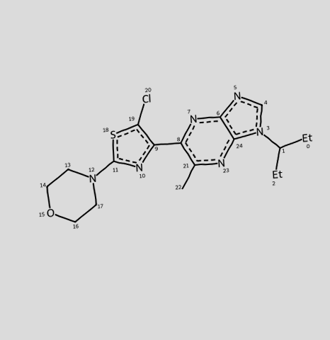 CCC(CC)n1cnc2nc(-c3nc(N4CCOCC4)sc3Cl)c(C)nc21